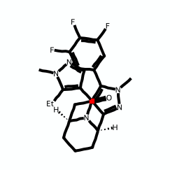 CCc1c(C(=O)N2[C@H]3CCC[C@@H]2c2nn(C)c(-c4cc(F)c(F)c(F)c4)c2C3)cnn1C